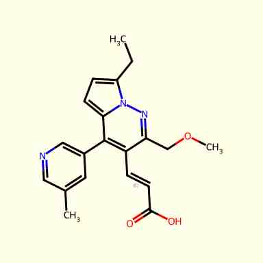 CCc1ccc2c(-c3cncc(C)c3)c(/C=C/C(=O)O)c(COC)nn12